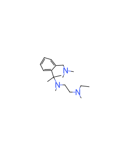 CCN(C)CCN(C)C(C)(C)c1ccccc1CN(C)C